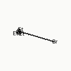 CCO[Si](CCCCCCCCCCCCCCCCCCCCCCCCCCCCBr)(OCC)OCC